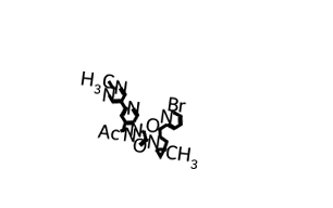 CC(=O)c1nn(CC(=O)N2C(C(=O)c3cccc(Br)n3)CC3(C)CC23)c2cnc(-c3cnc(C)nc3)cc12